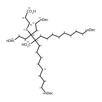 CCCCCCCCCCCCCCCCCCC(CCCCCCCCCCCCCCCCCC)(C(=O)O)C(CCCCCCCCCCCC)(CCCCCCCCCCCC)SCCC(=O)O